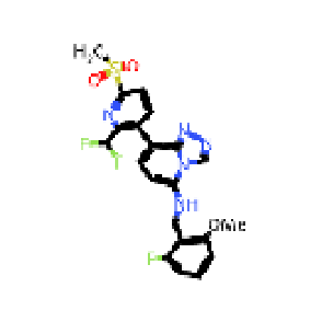 COc1cccc(F)c1CNc1ccc(-c2ccc(S(C)(=O)=O)nc2C(F)F)c2nncn12